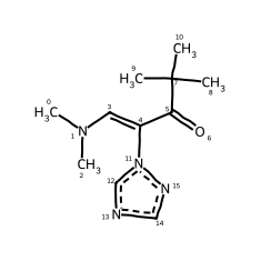 CN(C)/C=C(/C(=O)C(C)(C)C)n1cncn1